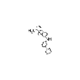 CC1CC=Cc2c1oc1cc(Nc3cccc(-c4ccccc4)c3)ccc21